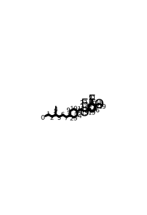 CCCC(I)CCCC1CCC(COc2ccc(OC)c(F)c2F)CC1